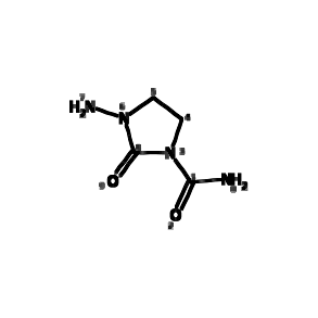 NC(=O)N1CCN(N)C1=O